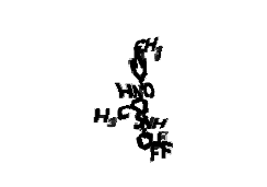 Cc1cc(NC(=O)C2CCN(C)CC2)ccc1SNc1cccc(C(F)(F)F)c1